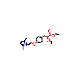 CCOC(=O)C(Cc1ccc(OCCn2c(C)ccc2C)cc1)OCC